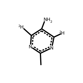 [2H]c1nc(C)nc([2H])c1N